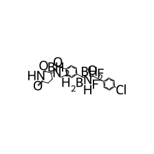 BC(B)(NC(=O)C(F)(F)c1ccc(Cl)cc1)c1ccc2c(c1)CN([C@@]1(B)CCC(=O)NC1=O)C2=O